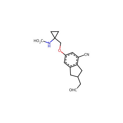 N#Cc1cc(OCC2(NC(=O)O)CC2)cc2c1CC(CC=O)C2